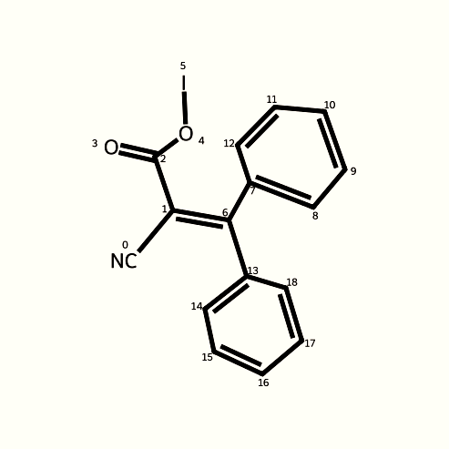 N#CC(C(=O)OI)=C(c1ccccc1)c1ccccc1